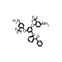 Nc1ccc(Oc2cc(Oc3ccccc3C(=O)c3ccccc3)cc(Oc3ccc(N)cc3C(F)(F)F)c2)c(C(F)(F)F)c1